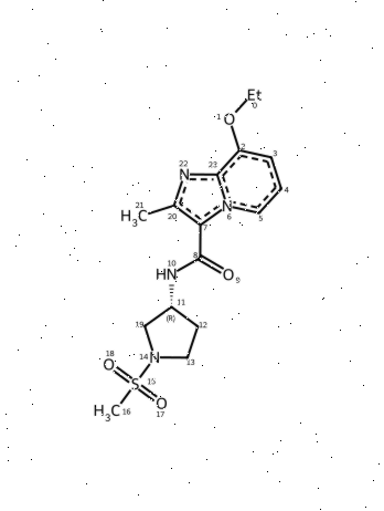 CCOc1cccn2c(C(=O)N[C@@H]3CCN(S(C)(=O)=O)C3)c(C)nc12